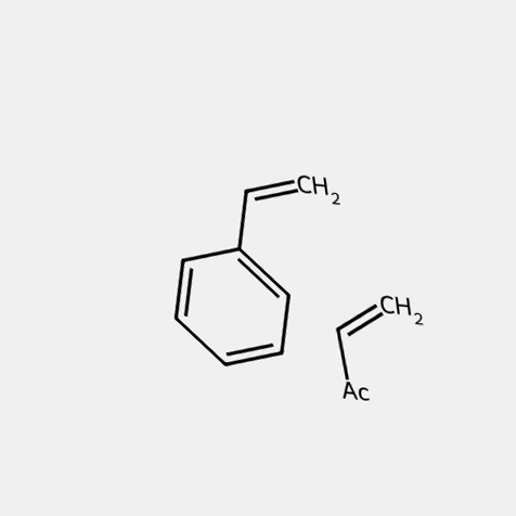 C=CC(C)=O.C=Cc1ccccc1